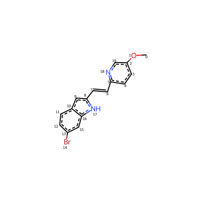 COc1ccc(C=Cc2cc3ccc(Br)cc3[nH]2)nc1